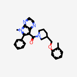 Cc1ccccc1OCC1CCCN(C(=O)c2c(-c3ccccc3)n(C)c3nccnc23)C1